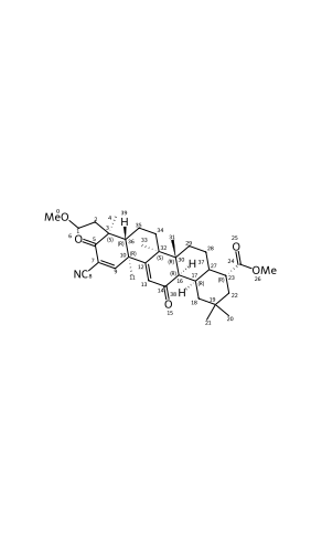 COCC[C@]1(C)C(=O)C(C#N)=C[C@]2(C)C3=CC(=O)[C@@H]4[C@@H]5CC(C)(C)C[C@@H](C(=O)OC)C5CC[C@@]4(C)[C@]3(C)CC[C@H]21